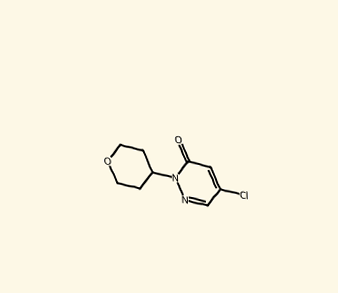 O=c1cc(Cl)cnn1C1CCOCC1